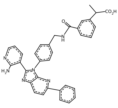 CC(C(=O)O)c1cccc(C(=O)NCc2ccc(-n3c(-c4cccnc4N)nc4ccc(-c5ccccc5)nc43)cc2)c1